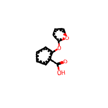 O=C(O)c1ccccc1Oc1ccco1